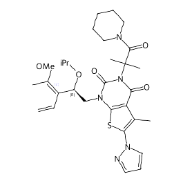 C=C/C(=C(\C)OC)[C@H](Cn1c(=O)n(C(C)(C)C(=O)N2CCCCC2)c(=O)c2c(C)c(-n3cccn3)sc21)OC(C)C